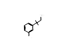 CC(C)(C)c1cccc(C(C)(C)CN)c1